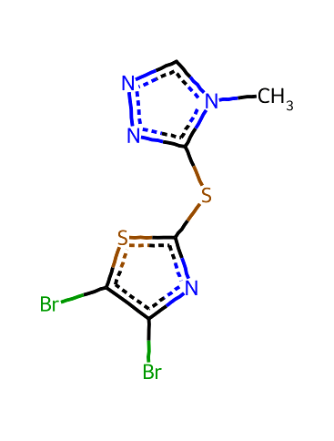 Cn1cnnc1Sc1nc(Br)c(Br)s1